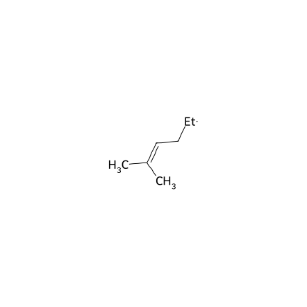 C[CH]CC=C(C)C